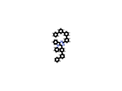 c1ccc(-c2cccc(-c3ccc(-c4nc(-c5cccc(-c6cccc(-c7cccc(-c8ccccc8)c7)c6)c5)nc5c6ccccc6n(-c6ccccc6)c45)cc3)c2)cc1